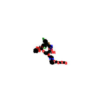 COCCOCCOCCOc1ccccc1-c1nccc(COc2ccc3cc2C[C@H](C(=O)O)Oc2ncnc4sc(-c5ccc(F)cc5)c(c24)-c2ccc(c(Cl)c2C)O[C@H](COS(=O)(=O)c2ccc(C)cc2)CO3)n1